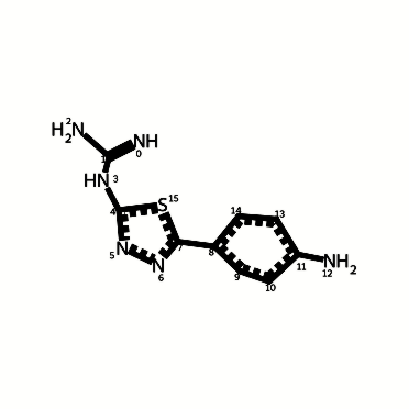 N=C(N)Nc1nnc(-c2ccc(N)cc2)s1